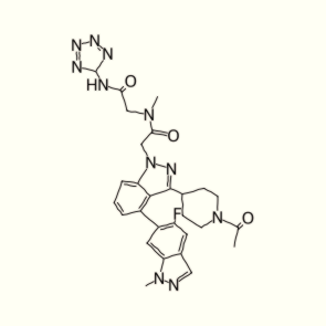 CC(=O)N1CCC(c2nn(CC(=O)N(C)CC(=O)NC3N=NN=N3)c3cccc(-c4cc5c(cnn5C)cc4F)c23)CC1